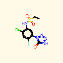 CCS(=O)(=O)Nc1cc(-n2nn[nH]c2=O)c(F)cc1Cl